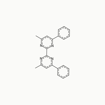 Cc1cc(-c2ccccc2)nc(-c2nc(C)cc(-c3ccccc3)n2)n1